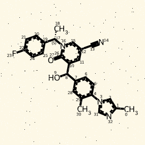 Cc1cn(-c2ccc(C(O)c3cc(C#N)cn([C@@H](C)c4ccc(F)cc4)c3=O)cc2C)cn1